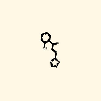 O=C(C=Cc1nccs1)c1ccccc1O